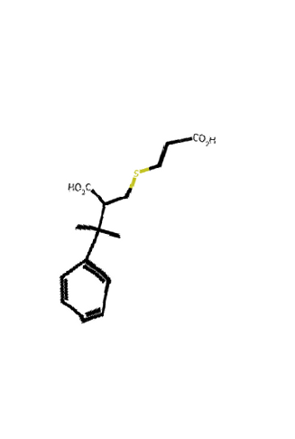 CC(C)(c1ccccc1)C(CSCCC(=O)O)C(=O)O